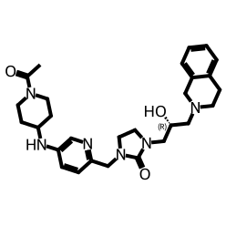 CC(=O)N1CCC(Nc2ccc(CN3CCN(C[C@H](O)CN4CCc5ccccc5C4)C3=O)nc2)CC1